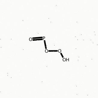 O=POOO